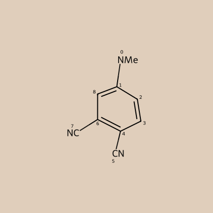 CNc1ccc(C#N)c(C#N)c1